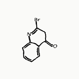 O=C1CC(Br)=Nc2ccccc21